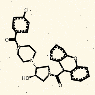 O=C(c1ccc(Cl)cc1)N1CCN([C@@H]2CN(C(=O)C3c4ccccc4Oc4ccccc43)C[C@H]2O)CC1